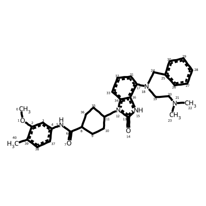 COc1cc(NC(=O)C2CCC(n3c(=O)[nH]c4c(N(CCN(C)C)Cc5ccccc5)cccc43)CC2)ccc1C